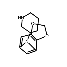 c1c2cc(c3c1OCO3)N2C1CCCNC1